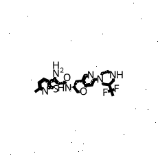 Cc1ccc2c(N)c(C(=O)N[C@H]3COc4cc(N5CCNCC(C(C)(F)F)C5)ncc4C3)sc2n1